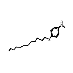 CCCCCCCCCCCCSc1ccc(NC)cc1